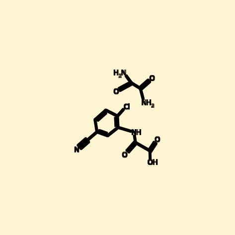 N#Cc1ccc(Cl)c(NC(=O)C(=O)O)c1.NC(=O)C(N)=O